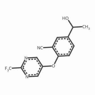 CC(O)c1ccc(Oc2cnc(C(F)(F)F)nc2)c(C#N)c1